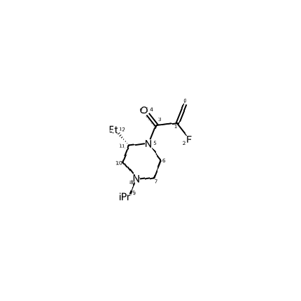 C=C(F)C(=O)N1CCN(C(C)C)C[C@@H]1CC